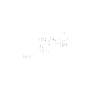 O=C(NC1CC(O)C1)c1cc2[nH]c3ccccc3c2nc1NC1CC1